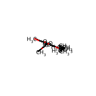 CCCCCCCCCCCC(=O)OCC(COC(=O)CCCCCCCCCCCN1C(N(C)C)=NC(N(C)C)=NC1N(C)C)OC(=O)CCCCCCCCCCC